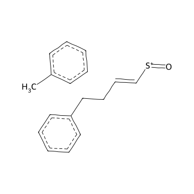 Cc1ccccc1.O=[S+]/C=C/CCc1ccccc1